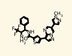 Cn1cc(-c2cnc3c(-c4csc(C(=O)NC(c5ccccc5)C(N)C(F)(F)F)c4)cnn3c2)cn1